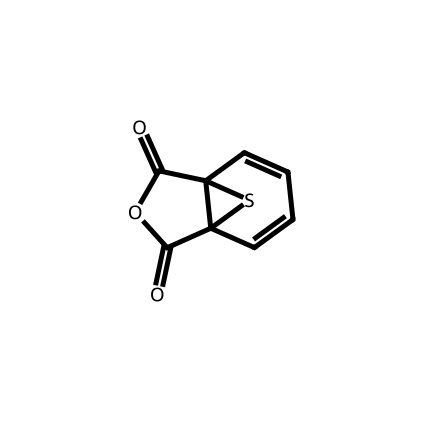 O=C1OC(=O)C23C=CC=CC12S3